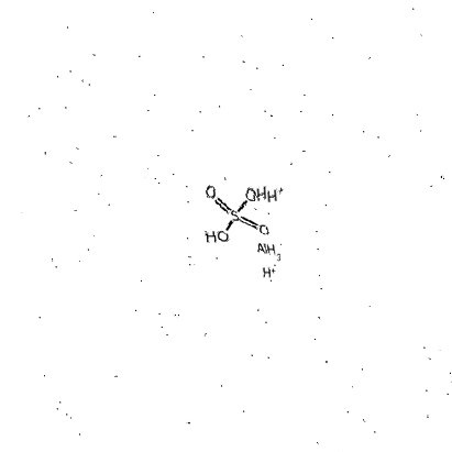 O=S(=O)(O)O.[AlH3].[H+].[H+]